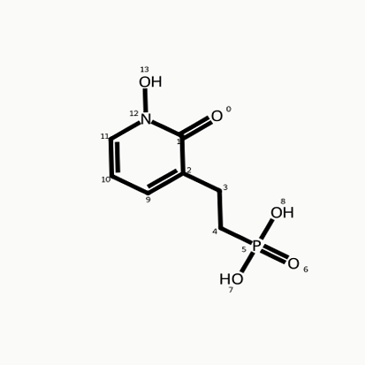 O=c1c(CCP(=O)(O)O)cccn1O